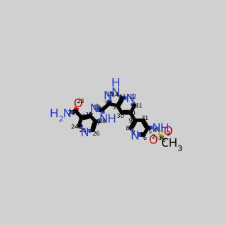 CS(=O)(=O)Nc1cncc(-c2cnc3[nH]nc(-c4nc5c(C(N)=O)cncc5[nH]4)c3c2)c1